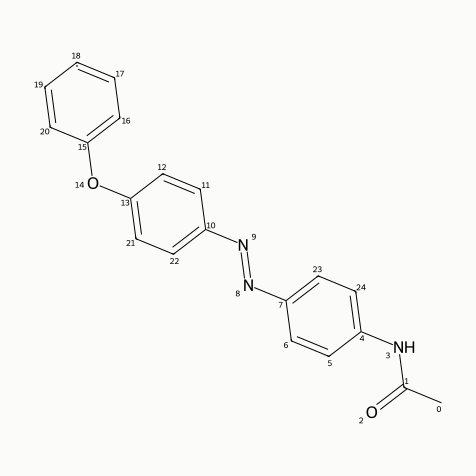 CC(=O)Nc1ccc(N=Nc2ccc(Oc3cc[c]cc3)cc2)cc1